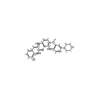 COc1cc(C2CCOCC2)ncc1Nc1nccc(Nc2cc3cccc(F)c3[nH]c2=O)n1